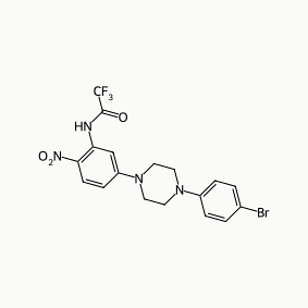 O=C(Nc1cc(N2CCN(c3ccc(Br)cc3)CC2)ccc1[N+](=O)[O-])C(F)(F)F